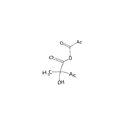 CC(=O)C(=O)OC(=O)C(C)(O)C(C)=O